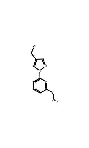 COc1cccc(-n2cc(CCl)cn2)n1